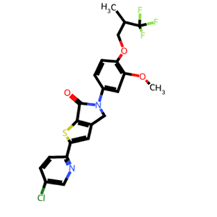 COc1cc(N2Cc3cc(-c4ccc(Cl)cn4)sc3C2=O)ccc1OCC(C)C(F)(F)F